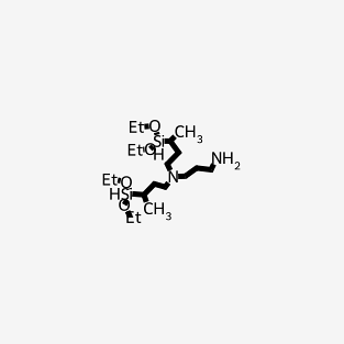 CCO[SiH](OCC)C(C)CCN(CCCN)CCC(C)[SiH](OCC)OCC